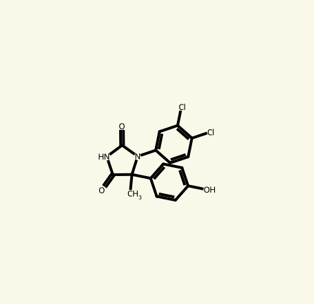 CC1(c2ccc(O)cc2)C(=O)NC(=O)N1c1ccc(Cl)c(Cl)c1